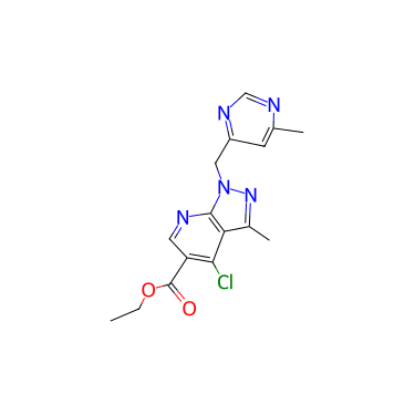 CCOC(=O)c1cnc2c(c(C)nn2Cc2cc(C)ncn2)c1Cl